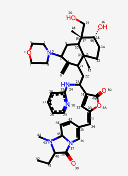 C=C1C(N2CCOCC2)CC2[C@](C)(CC[C@@H](O)[C@@]2(C)CO)C1CC(Nc1ccccn1)C1=C/C(=C\C2=CN3C(=O)C(CC)N(C)C3C=C2)OC1=O